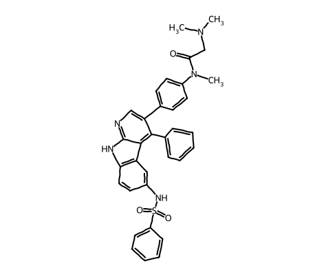 CN(C)CC(=O)N(C)c1ccc(-c2cnc3[nH]c4ccc(NS(=O)(=O)c5ccccc5)cc4c3c2-c2ccccc2)cc1